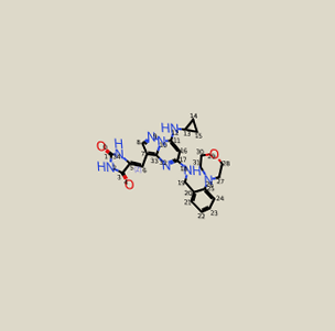 O=C1NC(=O)/C(=C/c2cnn3c(NC4CC4)cc(NCc4ccccc4N4CCOCC4)nc23)N1